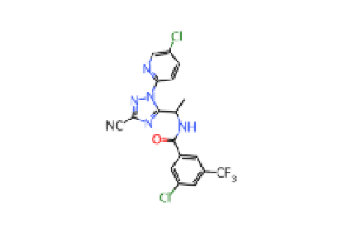 CC(NC(=O)c1cc(Cl)cc(C(F)(F)F)c1)c1nc(C#N)nn1-c1ccc(Cl)cn1